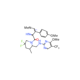 CN/C=C(\C(=N)C(=O)N1CC(F)(F)CC(C)C1CNc1ncc(C(F)(F)F)c(OC)n1)c1ccc(OC)cc1